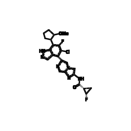 COC1CCCC1c1c(F)c(Cl)c(-c2cn3cc(NC(=O)[C@@H]4C[C@@H]4F)nc3cn2)c2cn[nH]c12